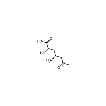 C[NH+]([O-])C[C@@H](N)CC(O)C(=O)O